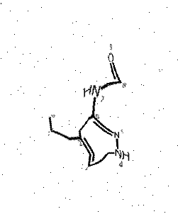 CCc1c[nH]nc1NC=O